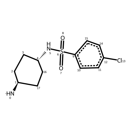 [NH][C@H]1CC[C@H](NS(=O)(=O)c2ccc(Cl)cc2)CC1